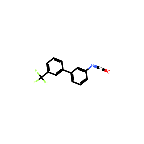 O=C=Nc1cccc(-c2cccc(C(F)(F)F)c2)c1